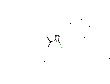 CC(C)[SiH2]Cl.[SiH4]